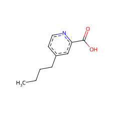 CCCCc1ccnc(C(=O)O)c1